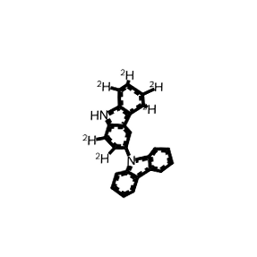 [2H]c1c(-n2c3ccccc3c3ccccc32)cc2c([nH]c3c([2H])c([2H])c([2H])c([2H])c32)c1[2H]